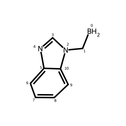 BCn1cnc2ccccc21